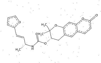 C[C@H](/C=C/c1ccco1)NC(=O)O[C@H]1Cc2cc3ccc(=O)oc3cc2OC1(C)C